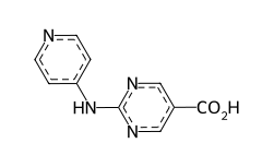 O=C(O)c1cnc(Nc2ccncc2)nc1